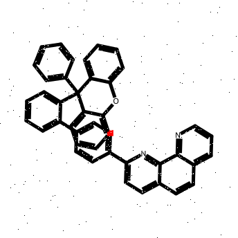 c1ccc(C2(c3ccccc3-c3ccc(-c4ccc5ccc6cccnc6c5n4)cc3)c3ccccc3Oc3ccccc32)cc1